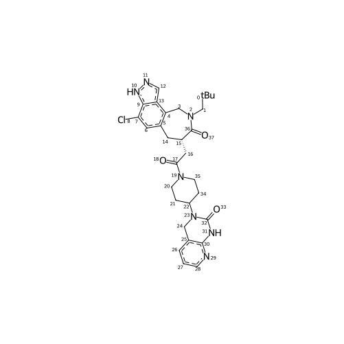 CC(C)(C)CN1Cc2c(cc(Cl)c3[nH]ncc23)C[C@@H](CC(=O)N2CCC(N3Cc4cccnc4NC3=O)CC2)C1=O